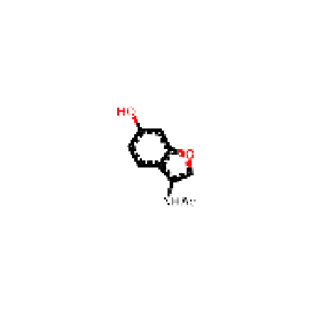 CC(=O)Nc1coc2cc(O)ccc12